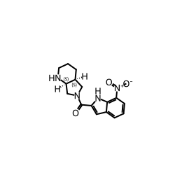 O=C(c1cc2cccc([N+](=O)[O-])c2[nH]1)N1C[C@@H]2CCCN[C@@H]2C1